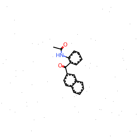 CC(=O)Nc1ccccc1C(=O)c1ccc2ccccc2c1